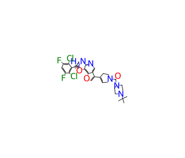 C[C@@H](Oc1c(N)ncc2c(C3=CCN(C(=O)N4CCN(C(C)(C)C)CC4)CC3)coc12)c1c(Cl)c(F)cc(F)c1Cl